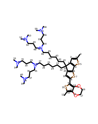 Cc1cc2c(s1)-c1sc(-c3sc(C)c4c3OCCO4)cc1C2(CCCCCCN(CCCN(C)C)CCCN(C)C)CCCCCCN(CCCN(C)C)CCCN(C)C